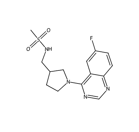 CS(=O)(=O)NCC1CCN(c2ncnc3ccc(F)cc23)C1